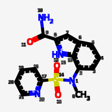 CN(c1cccc2cc(C(N)=O)[nH]c12)S(=O)(=O)c1ccccn1